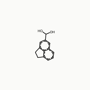 OC(O)c1cc2c3c(cccc3c1)CC2